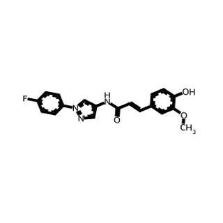 COc1cc(/C=C/C(=O)Nc2cnn(-c3ccc(F)cc3)c2)ccc1O